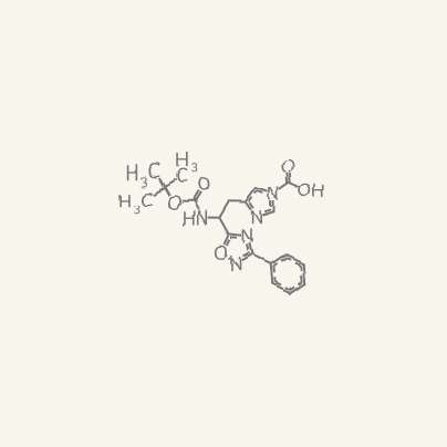 CC(C)(C)OC(=O)NC(Cc1cn(C(=O)O)cn1)c1nc(-c2ccccc2)no1